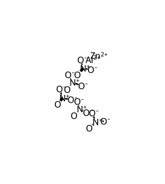 O=[N+]([O-])[O-].O=[N+]([O-])[O-].O=[N+]([O-])[O-].O=[N+]([O-])[O-].O=[N+]([O-])[O-].[Al+3].[Zn+2]